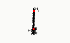 CCCCCCCCCCCCCCCCCCCOC1=C(O)[C@@H]([C@@H](O)CO)OC1=O